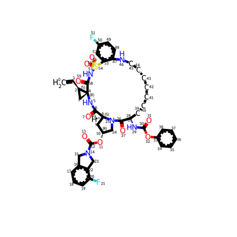 C=C[C@@H]1C[C@@]12NC(=O)[C@@H]1C[C@@H](OC(=O)N3Cc4cccc(F)c4C3)CN1C(=O)[C@@H](NC(=O)Oc1ccccc1)CCCCCCCNc1ccc(F)cc1S(=O)(=O)NC2=O